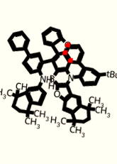 CC(C)(C)c1ccc(N2c3cc4oc5ccccc5c4c(-c4cc(-c5ccccc5)ccc4Nc4ccc5c(c4)C(C)(C)CCC5(C)C)c3Bc3oc4cc5c(cc4c32)C(C)(C)CCC5(C)C)c(-c2ccccc2)c1